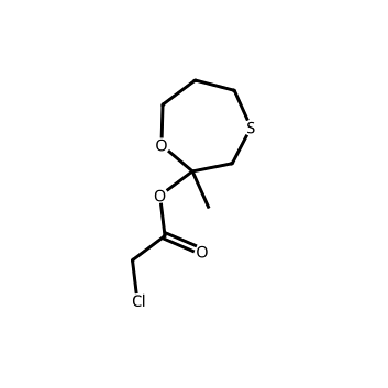 CC1(OC(=O)CCl)CSCCCO1